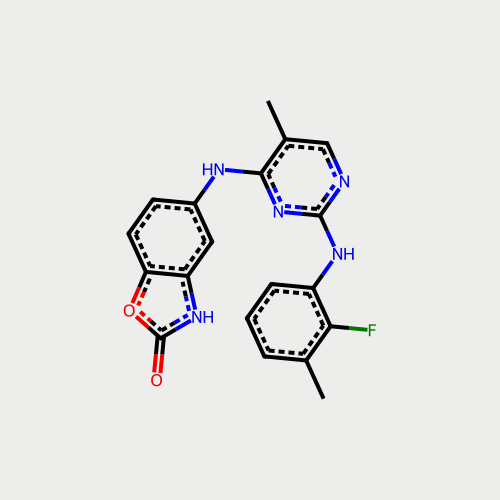 Cc1cnc(Nc2cccc(C)c2F)nc1Nc1ccc2oc(=O)[nH]c2c1